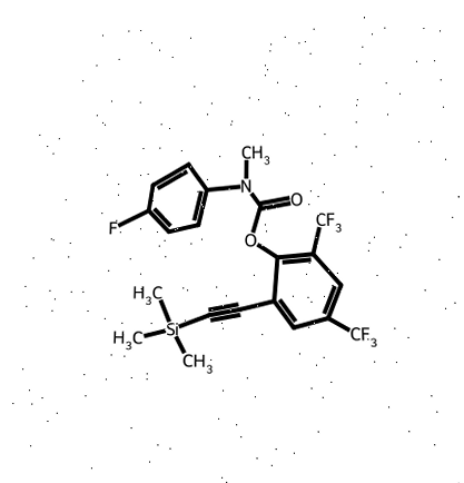 CN(C(=O)Oc1c(C#C[Si](C)(C)C)cc(C(F)(F)F)cc1C(F)(F)F)c1ccc(F)cc1